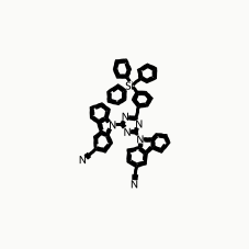 N#Cc1ccc2c(c1)c1ccccc1n2-c1nc(-c2cccc([Si](c3ccccc3)(c3ccccc3)c3ccccc3)c2)nc(-n2c3ccccc3c3cc(C#N)ccc32)n1